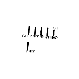 CCCCCCCCCC.CCCCCCCCCC.CCCCCCCCCC.CCCCCCCCCC.CCCCCCCCCC.O=NO